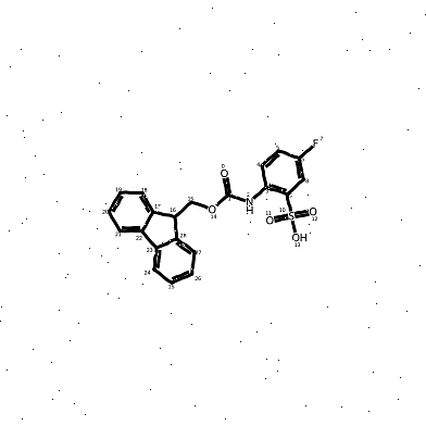 O=C(Nc1ccc(F)cc1S(=O)(=O)O)OCC1c2ccccc2-c2ccccc21